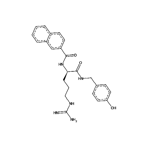 N=C(N)NCCC[C@@H](NC(=O)c1ccc2ccccc2c1)C(=O)NCc1ccc(O)cc1